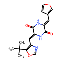 CC(C)(C)c1ocnc1/C=c1\[nH]c(=O)/c(=C/c2ccoc2)[nH]c1=O